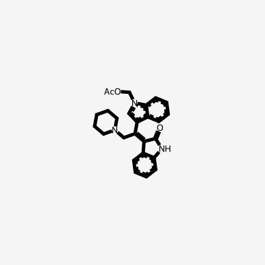 CC(=O)OCn1cc(C(CN2CCCCC2)=C2C(=O)Nc3ccccc32)c2ccccc21